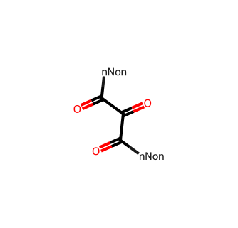 CCCCCCCCCC(=O)C(=O)C(=O)CCCCCCCCC